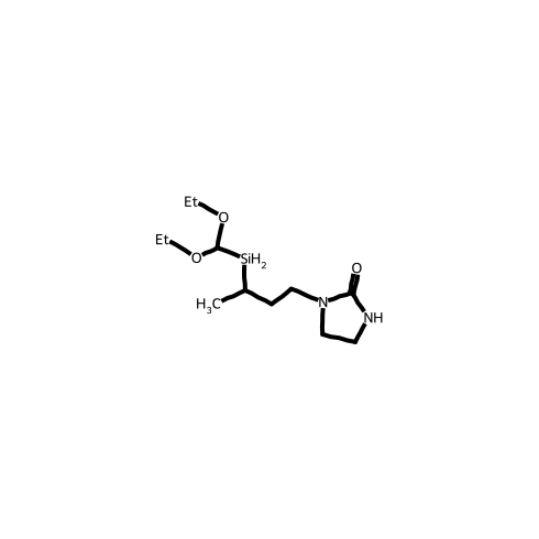 CCOC(OCC)[SiH2]C(C)CCN1CCNC1=O